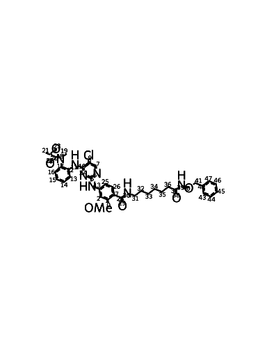 COc1cc(Nc2ncc(Cl)c(Nc3ccccc3N(C)S(C)(=O)=O)n2)ccc1C(=O)NCCCCCCC(=O)NOCc1ccccc1